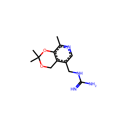 Cc1ncc(CNC(=N)N)c2c1OC(C)(C)OC2